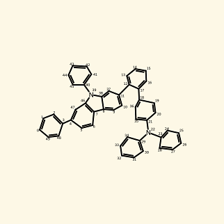 c1ccc(-c2ccc3c4ccc(-c5ccccc5-c5ccc(N(c6ccccc6)c6ccccc6)cc5)cc4n(-c4ccccc4)c3c2)cc1